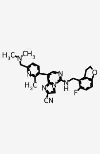 Cc1nc(CN(C)C)ccc1-c1cnc(NCc2c(F)ccc3c2CCO3)n2cc(C#N)nc12